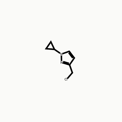 ClCc1ccn(C2CC2)n1